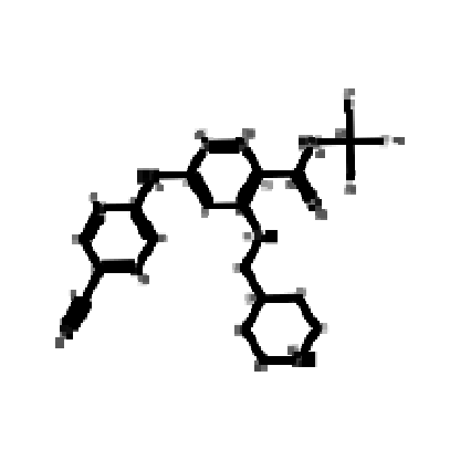 N#Cc1cnc(Nc2cc(NCC3CCNCC3)c(C(=O)NC(F)(F)F)nn2)cn1